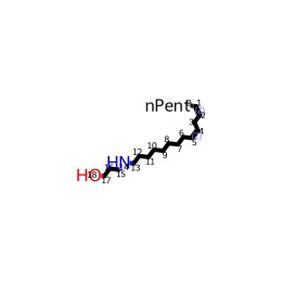 CCCCC/C=C\C/C=C\CCCCCCCCNCCCO